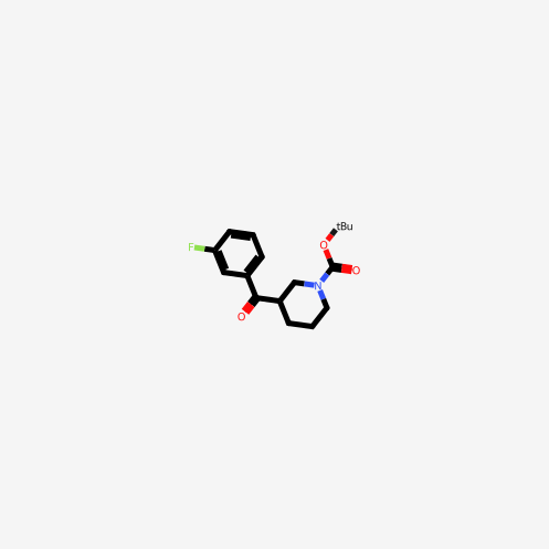 CC(C)(C)OC(=O)N1CCCC(C(=O)c2cccc(F)c2)C1